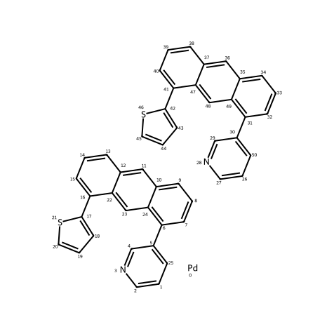 [Pd].c1cncc(-c2cccc3cc4cccc(-c5cccs5)c4cc23)c1.c1cncc(-c2cccc3cc4cccc(-c5cccs5)c4cc23)c1